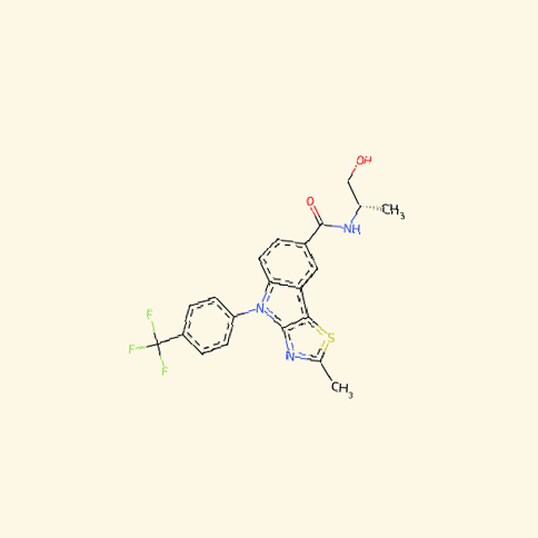 Cc1nc2c(s1)c1cc(C(=O)N[C@@H](C)CO)ccc1n2-c1ccc(C(F)(F)F)cc1